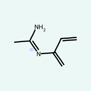 C=CC(=C)/N=C(/C)N